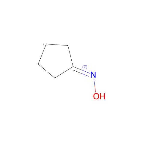 O/N=C1/C[CH]CC1